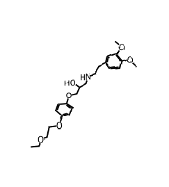 CCOCCOc1ccc(OCC(O)CNCCc2ccc(OC)c(OC)c2)cc1